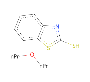 CCCOCCC.Sc1nc2ccccc2s1